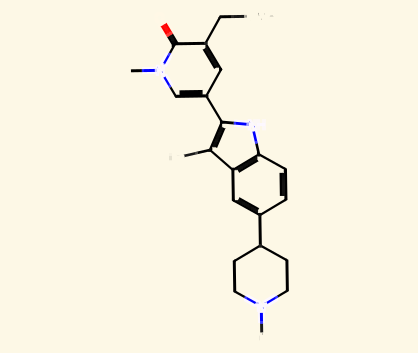 CCCN1CCC(c2ccc3[nH]c(-c4cc(COC)c(=O)n(C)c4)c(C(C)C)c3c2)CC1